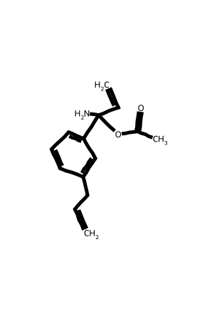 C=CCc1cccc(C(N)(C=C)OC(C)=O)c1